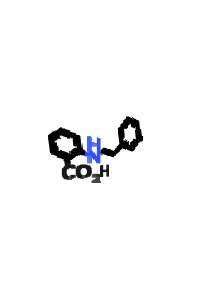 O=C(O)c1ccccc1NC=Cc1ccccc1